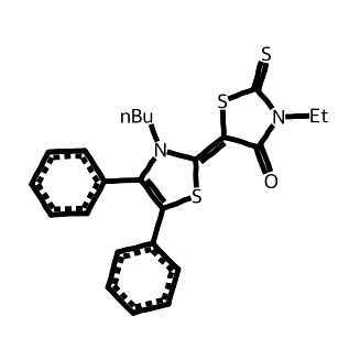 CCCCN1C(c2ccccc2)=C(c2ccccc2)S/C1=C1/SC(=S)N(CC)C1=O